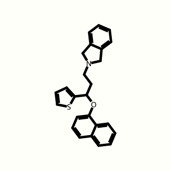 c1csc(C(CCN2Cc3ccccc3C2)Oc2cccc3ccccc23)c1